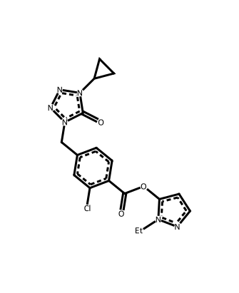 CCn1nccc1OC(=O)c1ccc(Cn2nnn(C3CC3)c2=O)cc1Cl